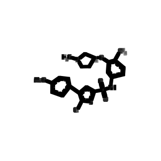 COc1ccc(-c2cc(S(=O)(=O)Nc3ccc(C(F)(F)F)c(O[C@@H]4CCN(C)C4)c3)sc2Cl)cc1